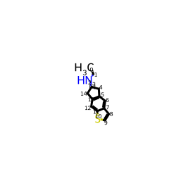 CCN[C@H]1Cc2cc3ccsc3cc2C1